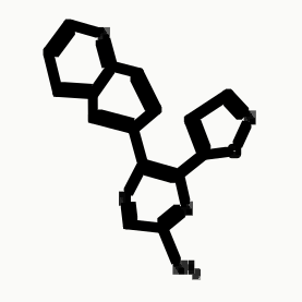 Nc1cnc(-c2ccc3ncccc3c2)c(-c2ccno2)n1